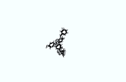 O=S(=O)(c1ccc(F)cc1)C1(c2ccc(C(F)(C(F)(F)F)C(F)(F)F)cc2)CCN(Cc2ccccc2)C1